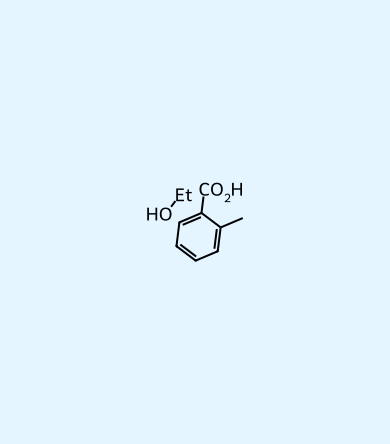 CCO.Cc1ccccc1C(=O)O